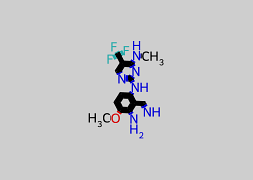 CNc1nc(Nc2ccc(OC)c(N)c2C=N)ncc1C(F)(F)F